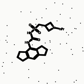 CCCN1CC(CS(=O)(=O)NC(=O)Nc2c3c(cc4c2CCC4)CCC3)C1